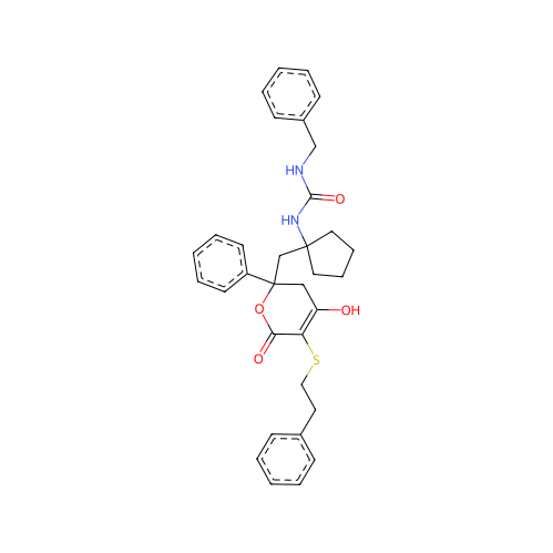 O=C(NCc1ccccc1)NC1(CC2(c3ccccc3)CC(O)=C(SCCc3ccccc3)C(=O)O2)CCCC1